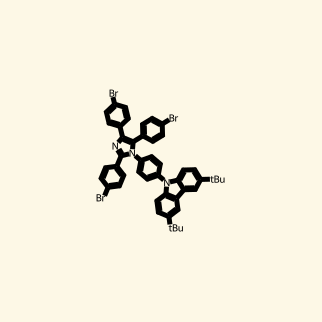 CC(C)(C)c1ccc2c(c1)c1cc(C(C)(C)C)ccc1n2-c1ccc(-n2c(-c3ccc(Br)cc3)nc(-c3ccc(Br)cc3)c2-c2ccc(Br)cc2)cc1